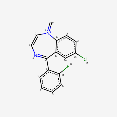 C=[N+]1C=CN=C(c2ccccc2F)c2cc(Cl)ccc21